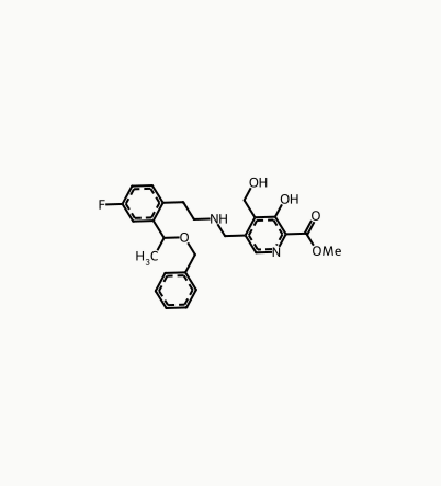 COC(=O)c1ncc(CNCCc2ccc(F)cc2C(C)OCc2ccccc2)c(CO)c1O